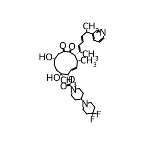 C/C(=C\C=C\C(C)c1cccnc1)[C@H]1C(=O)C(=O)C[C@@H](O)CC[C@](C)(O)[C@@H](OC(=O)N2CCC(N3CCC(F)(F)CC3)CC2)/C=C/[C@@H]1C